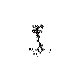 COc1cccc(O)c1-c1cc(C(=O)NC2(C(=O)O)C3CC4CC(C3)CC2C4)nn1-c1c#cc(C(=O)N(C)CCCN(C)CCCN(C)C(=O)CN2CCN(CC(=O)O)CCN(CC(=O)O)CCN(CC(=O)O)CC2)cc1C(C)C